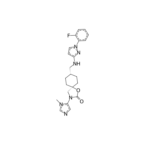 Cn1cncc1N1C[C@]2(CC[C@@H](CNc3ccn(-c4ccccc4F)n3)CC2)OC1=O